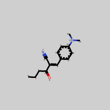 CCCC(=O)/C(C#N)=C/c1ccc(N(C)C)cc1